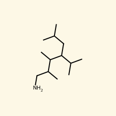 CC(C)CC(C(C)C)C(C)C(C)CN